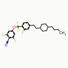 CCCCC1CCC(CCc2ccc(C(F)(F)Oc3cc(F)c(C#N)c(F)c3)c(F)c2)CC1